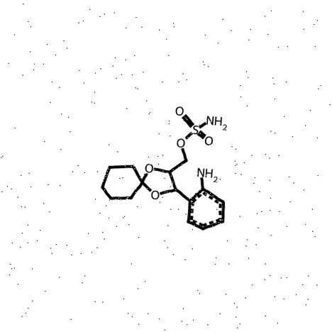 Nc1ccccc1C1OC2(CCCCC2)OC1COS(N)(=O)=O